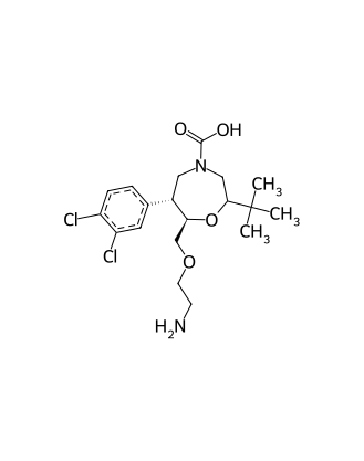 CC(C)(C)C1CN(C(=O)O)C[C@@H](c2ccc(Cl)c(Cl)c2)[C@H](COCCN)O1